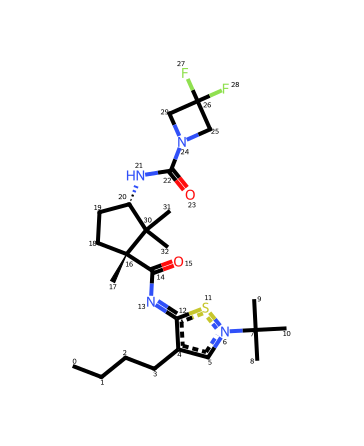 CCCCc1cn(C(C)(C)C)sc1=NC(=O)[C@]1(C)CC[C@H](NC(=O)N2CC(F)(F)C2)C1(C)C